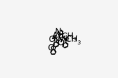 CC(=O)C(=O)N(c1ccc2c(c1)oc1ccccc12)C(C(=O)N(C)[C@@H](C)c1ccccc1)c1cccnc1